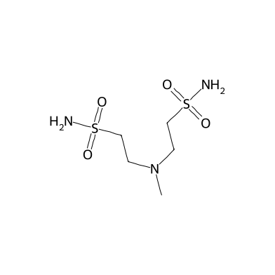 CN(CCS(N)(=O)=O)CCS(N)(=O)=O